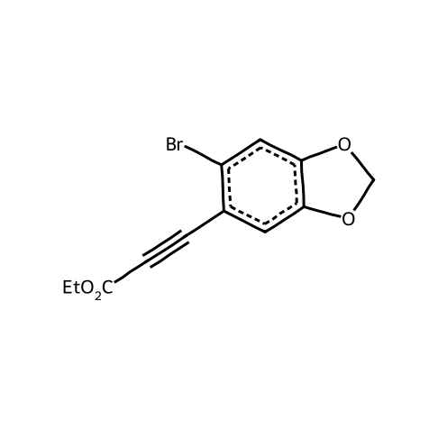 CCOC(=O)C#Cc1cc2c(cc1Br)OCO2